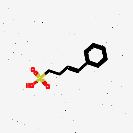 O=S(=O)(O)CCC=Cc1ccccc1